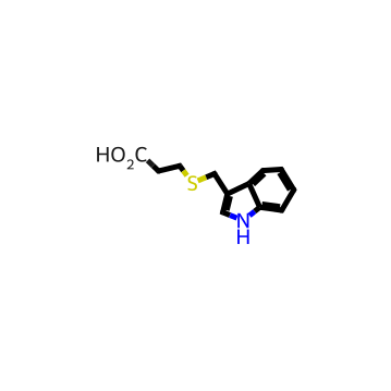 O=C(O)CCSCc1c[nH]c2ccccc12